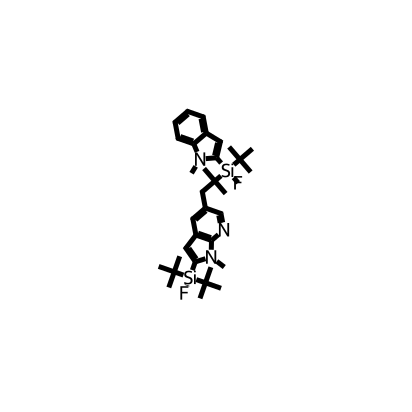 Cn1c([Si](F)(C(C)(C)C)C(C)(C)Cc2cnc3c(c2)cc([Si](F)(C(C)(C)C)C(C)(C)C)n3C)cc2ccccc21